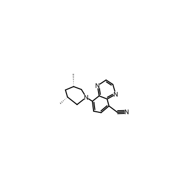 C[C@@H]1C[C@H](C)CN(c2ccc(C#N)c3nccnc23)C1